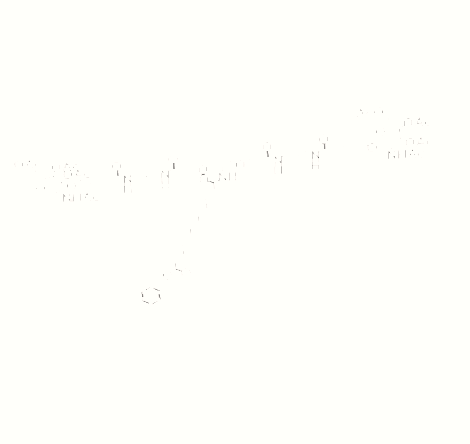 CC(=O)N[C@H]1[C@H](OCCCCC(=O)NCCCNC(=O)CCOCC(COCCC(=O)NCCCNC(=O)CCCCO[C@@]2(OC(C)=O)[C@@H](NC(C)=O)CO[C@H](COC(C)=O)[C@@H]2OC(C)=O)NC(=O)CCCCCCCCCCC(=O)OCc2ccccc2)O[C@H](COC(C)=O)[C@H](OC(C)=O)[C@@H]1OC(C)=O